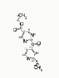 CCOC(=O)c1cnc(C(=O)c2ccnc(SC)c2)nc1